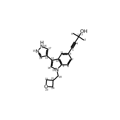 CC(C)(O)C#Cc1ccc2c(c1)c(-c1cn[nH]c1)cn2CC1COC1